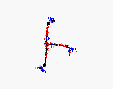 Nc1nc2c(c(OCc3ccc(COCCOCCOCCOCCNC(=O)CCOCC(COCCC(=O)CCCOCCOCCOCCOCc4ccc(COc5nc(N)nc6[nH]cnc56)cc4)(COCCC(=O)NCCOCCOCCOCCOCc4ccc(COc5nc(N)nc6[nH]cnc56)cc4)NC(=O)C(F)(F)F)cc3)n1)N=CC2